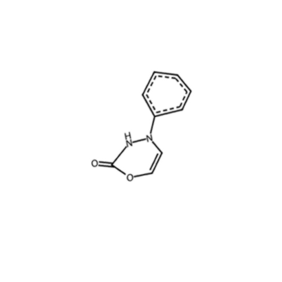 O=C1NN(c2ccccc2)C=CO1